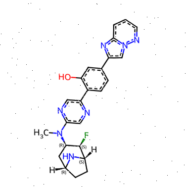 CN(c1cnc(-c2ccc(-c3cn4ncccc4n3)cc2O)cn1)[C@@H]1C[C@H]2CC[C@H](N2)[C@@H]1F